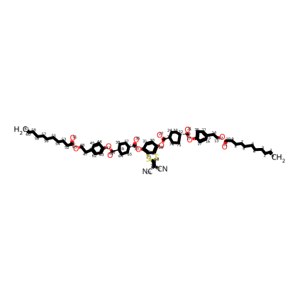 C=CCCCCCCCCC(=O)OCCc1ccc(OC(=O)[C@H]2CC[C@H](C(=O)Oc3ccc(OC(=O)[C@H]4CC[C@H](C(=O)Oc5ccc(CCOC(=O)CCCCCCCCC=C)cc5)CC4)c4c3SC(=C(C#N)C#N)S4)CC2)cc1